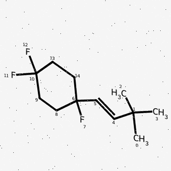 CC(C)(C)/C=C/C1(F)CCC(F)(F)CC1